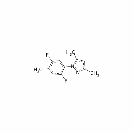 Cc1cc(C)n(-c2cc(F)c(C)cc2F)n1